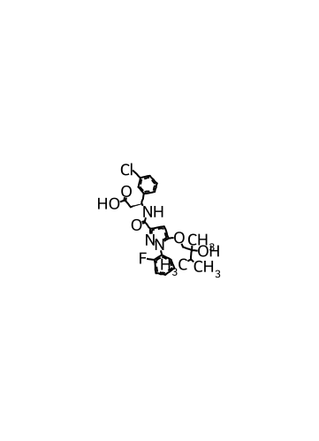 CC(C)C(C)(O)COc1cc(C(=O)N[C@@H](CC(=O)O)c2cccc(Cl)c2)nn1-c1ccccc1F